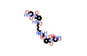 O=C1CCC(N2Cc3c(NC(=O)CCCc4cn(CC(=O)Nc5cccc6c5C(=O)N(C5CCC(=O)NC5=O)C6=O)nn4)cccc3C2=O)C(=O)N1